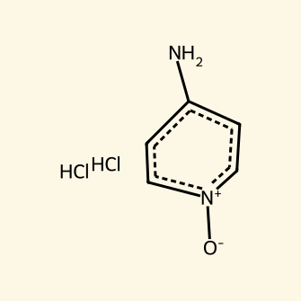 Cl.Cl.Nc1cc[n+]([O-])cc1